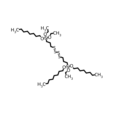 CCCCCCCCO[Si](CCCSSSSCCC[Si](OCC)(OCCCCCCCC)OCCCCCCCC)(OCC)OCC